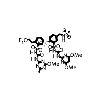 COc1cc(OC)nc(NC(=O)NS(=O)(=O)c2cc(CNS(C)(=O)=O)ccc2C(=O)O)n1.COc1nc(C)nc(NC(=O)NS(=O)(=O)c2ccccc2CCC(F)(F)F)n1